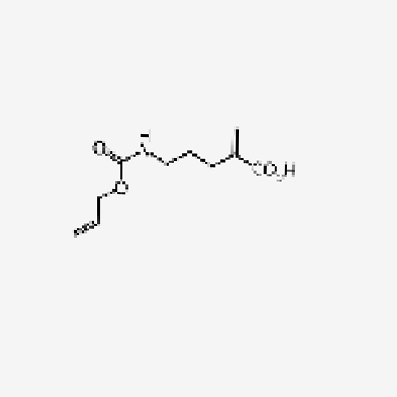 C=CCOC(=O)NCCCC(=C)C(=O)O